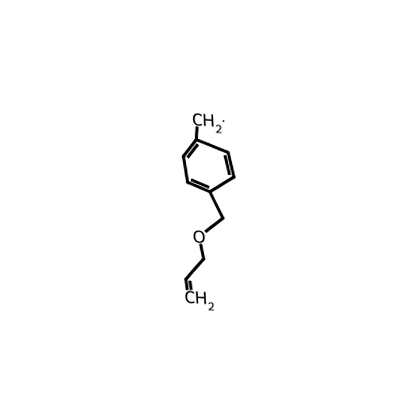 [CH2]c1ccc(COCC=C)cc1